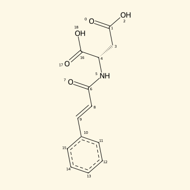 O=C(O)C[C@H](NC(=O)C=Cc1ccccc1)C(=O)O